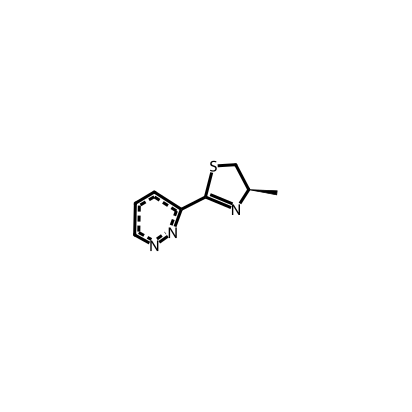 C[C@@H]1CSC(c2cccnn2)=N1